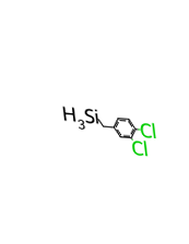 [SiH3]Cc1ccc(Cl)c(Cl)c1